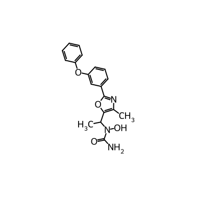 Cc1nc(-c2cccc(Oc3ccccc3)c2)oc1C(C)N(O)C(N)=O